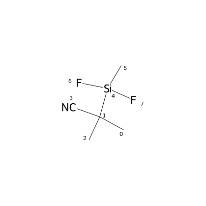 CC(C)(C#N)[Si](C)(F)F